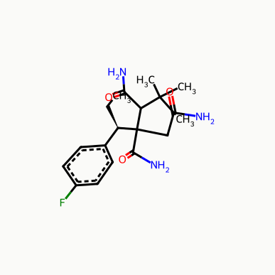 CC[C@H](c1ccc(F)cc1)C(CC(N)=O)(C(N)=O)C(C(N)=O)C(C)(C)C